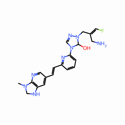 CN1CNc2cc(/C=C/c3cccc(N4C=NN(C/C(=C/F)CN)C4O)n3)cnc21